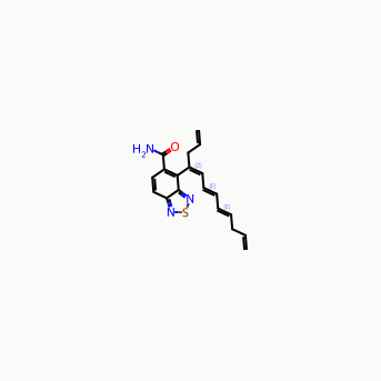 C=CC/C=C/C=C/C=C(/CC=C)c1c(C(N)=O)ccc2nsnc12